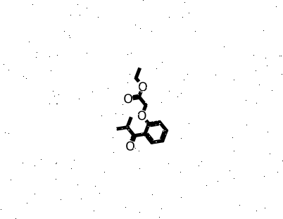 CCOC(=O)COc1ccccc1C(=O)C(C)C